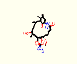 C=C1C=C2NC(=O)/C=C/C=C/[C@H](OC)C(OC(N)=O)/C(C)=C/C(C)C(O)CCC(C)CC(=C1C)C2=O